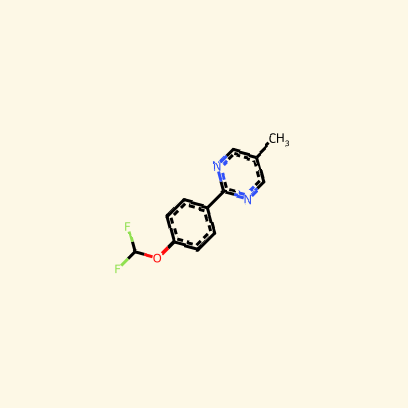 Cc1cnc(-c2ccc(OC(F)F)cc2)nc1